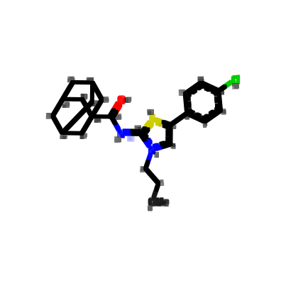 COCCn1cc(-c2ccc(Cl)cc2)s/c1=N\C(=O)C12CC3CC(CC(C3)C1)C2